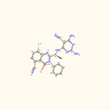 C[C@H](Nc1nc(N)nc(N)c1C#N)c1nc2c(F)ccc(C#N)c2c(=O)n1-c1ccccc1